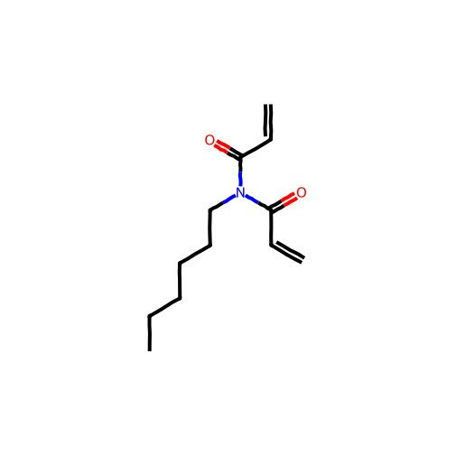 C=CC(=O)N(CCCCCC)C(=O)C=C